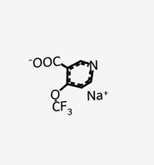 O=C([O-])c1cnccc1OC(F)(F)F.[Na+]